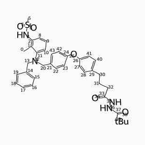 Cc1c(NS(C)(=O)=O)cccc1N(Cc1ccccc1)Cc1ccc(Oc2ccc(CCCC(=O)NNC(=O)C(C)(C)C)cc2)cc1